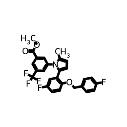 COC(=O)c1cc(-n2c(C)ccc2-c2cc(F)ccc2OCc2ccc(F)cc2)cc(C(F)(F)F)c1